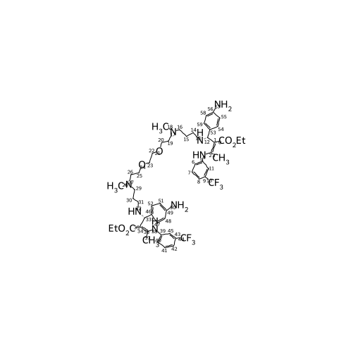 CCOC(=O)/C(=C(\C)Nc1cccc(C(F)(F)F)c1)[C@H](NCCCN(C)CCOCCOCCN(C)CCCN[C@@H](/C(C(=O)OCC)=C(/C)Nc1cccc(C(F)(F)F)c1)c1ccc(N)cc1)c1ccc(N)cc1